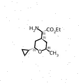 CCOC(=O)[C@@H](N)[C@H]1C[C@@H](C)O[C@H](C2CC2)C1